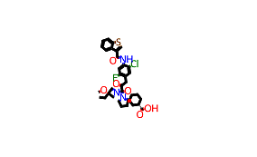 CCC1(OC)CN(C(O[C@H]2CC[C@H](C(=O)O)CC2)(C(=O)Cc2cc(Cl)c(NC(=O)c3csc4ccccc34)cc2F)N2CCCC2)C1